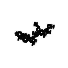 CN1CCC(Nc2cccc3c(CC(F)(F)F)c(C#CCNc4cc(F)c(NCCO)cc4OCC#N)sc23)C(F)(F)C1